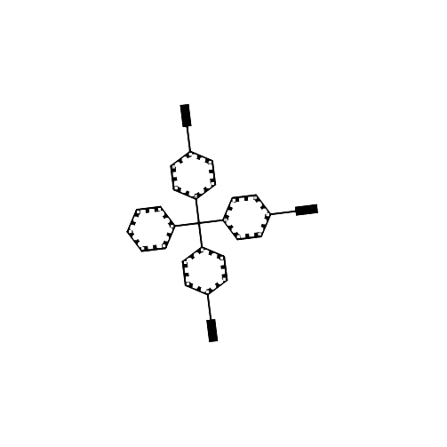 C#Cc1ccc(C(c2ccccc2)(c2ccc(C#C)cc2)c2ccc(C#C)cc2)cc1